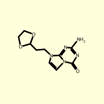 Nc1nc(=O)n2ccn(CCC3OCCO3)c2n1